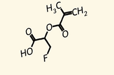 C=C(C)C(=O)OC(CF)C(=O)O